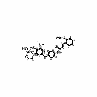 COc1ccccc1/C=C/C(=O)Nc1ccc(Cc2nc(N(C)C)c(CC(=O)O)c(N3CCOCC3)n2)cc1